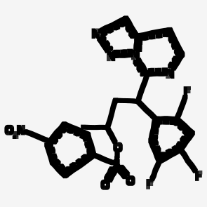 CC(CC(c1cc(F)c(F)cc1F)c1nccc2cnnn12)OS(=O)(=O)c1ccc([N+](=O)[O-])cc1